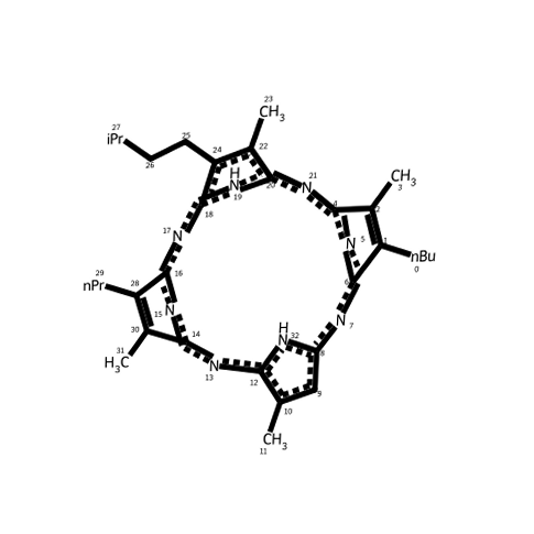 CCCCC1=C(C)c2nc1nc1cc(C)c(nc3nc(nc4[nH]c(n2)c(C)c4CCC(C)C)C(CCC)=C3C)[nH]1